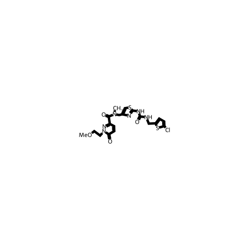 COCCn1nc(C(=O)N(C)Cc2csc(NC(=O)NCc3ccc(Cl)s3)n2)ccc1=O